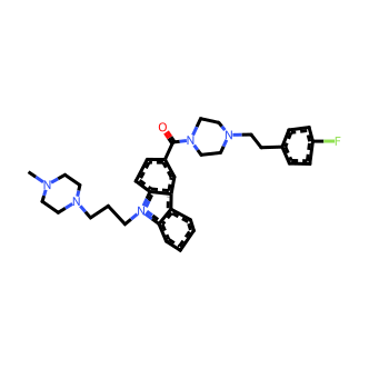 CN1CCN(CCCn2c3ccccc3c3cc(C(=O)N4CCN(CCc5ccc(F)cc5)CC4)ccc32)CC1